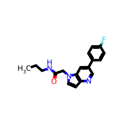 CCCNC(=O)Cn1ccc2ncc(-c3ccc(F)cc3)cc21